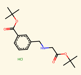 CC(C)(C)OC(=O)CNCc1cccc(C(=O)OC(C)(C)C)c1.Cl